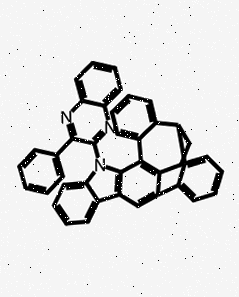 c1ccc(-c2nc3ccccc3nc2-n2c3ccccc3c3cc4c5c(c32)-c2ccccc2C(CC5)c2ccccc2-4)cc1